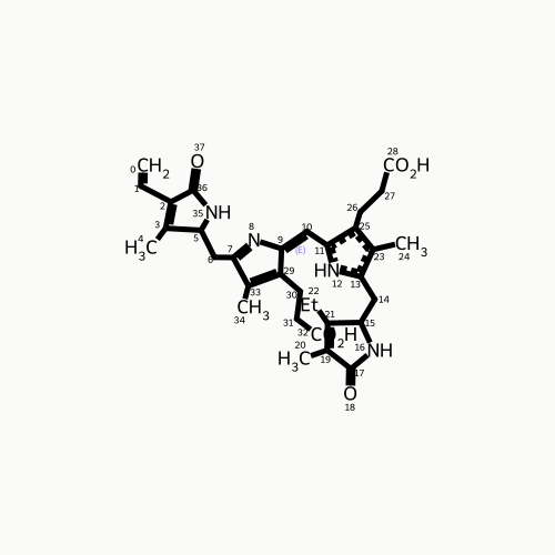 C=CC1=C(C)C(CC2=N/C(=C/c3[nH]c(CC4NC(=O)C(C)=C4CC)c(C)c3CCC(=O)O)C(CCC(=O)O)=C2C)NC1=O